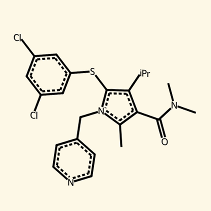 Cc1c(C(=O)N(C)C)c(C(C)C)c(Sc2cc(Cl)cc(Cl)c2)n1Cc1ccncc1